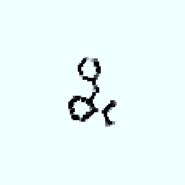 O=C(O)c1ccccc1OC1C=CCCC1